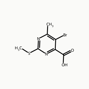 CSc1nc(C)c(Br)c(C(=O)O)n1